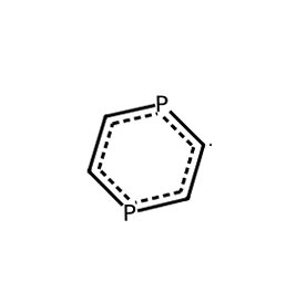 [c]1cpccp1